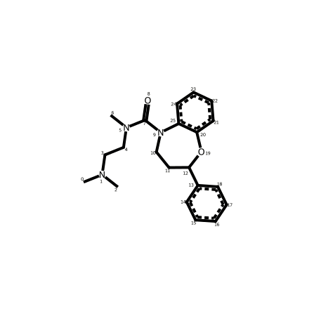 CN(C)CCN(C)C(=O)N1CCC(c2ccccc2)Oc2ccccc21